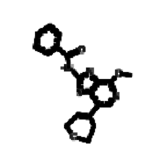 COc1ncc(C2=CCOCC2)c2sc(NC(=O)c3ccccc3)nc12